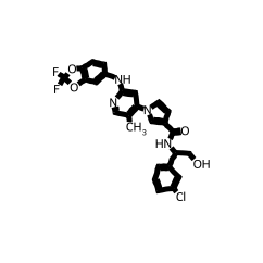 Cc1cnc(Nc2ccc3c(c2)OC(F)(F)O3)cc1-n1ccc(C(=O)NC(CO)c2cccc(Cl)c2)c1